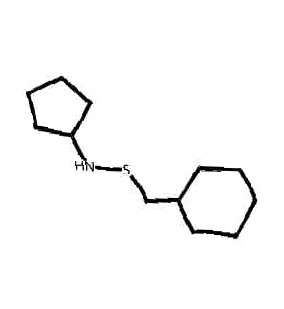 C1CCC(CSNC2CCCC2)CC1